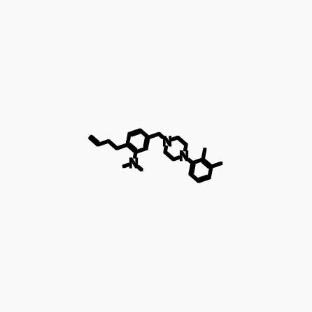 C=CCCc1ccc(CN2CCN(c3cccc(C)c3C)CC2)cc1N(C)C